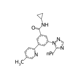 CCCc1ncnn1-c1cc(C(=O)NC2CC2)cc(-c2ccc(C)cn2)c1